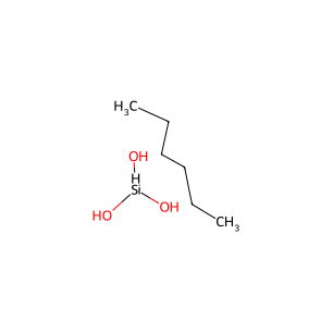 CCCCCC.O[SiH](O)O